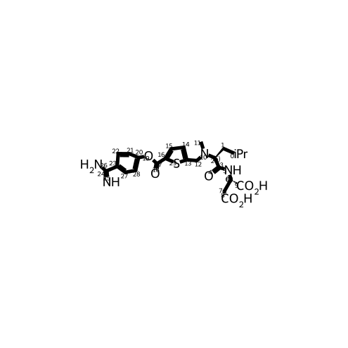 CC(C)C[C@@H](C(=O)N[C@@H](CC(=O)O)C(=O)O)N(C)Cc1ccc(C(=O)Oc2ccc(C(=N)N)cc2)s1